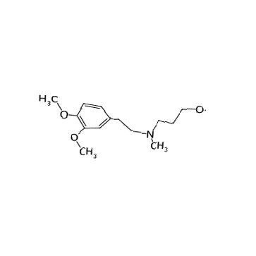 COc1ccc(CCN(C)CCC[O])cc1OC